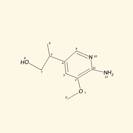 COc1cc(C(C)CO)cnc1N